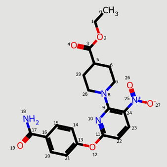 CCOC(=O)C1CCN(c2nc(Oc3ccc(C(N)=O)cc3)ccc2[N+](=O)[O-])CC1